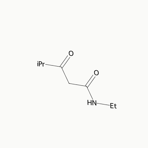 CCNC(=O)CC(=O)C(C)C